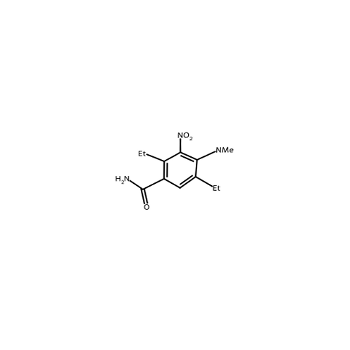 CCc1cc(C(N)=O)c(CC)c([N+](=O)[O-])c1NC